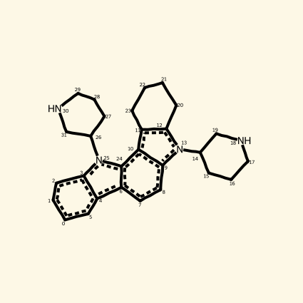 c1ccc2c(c1)c1ccc3c(c4c(n3C3CCCNC3)CCCC4)c1n2C1CCCNC1